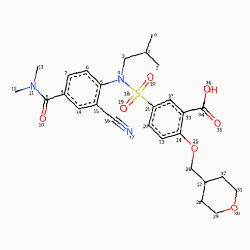 CC(C)CN(c1ccc(C(=O)N(C)C)cc1C#N)S(=O)(=O)c1ccc(OCC2CCOCC2)c(C(=O)O)c1